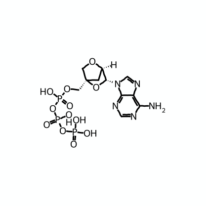 Nc1ncnc2c1ncn2[C@@H]1O[C@@]2(COP(=O)(O)OP(=O)(O)OP(=O)(O)O)CO[C@@H]1C2